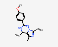 CCCCCCc1nc(C)c2n1N=C(c1ccc(OCC)cc1)NC2C=O